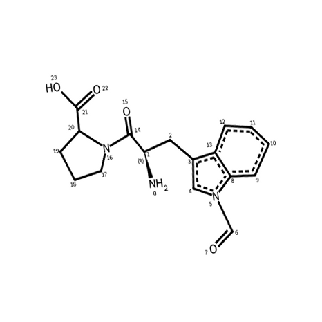 N[C@H](Cc1cn(C=O)c2ccccc12)C(=O)N1CCCC1C(=O)O